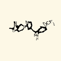 Cc1nc2c(o1)CCN(c1cc(-c3n[nH]c4ccc(OC(F)(F)F)cc34)ccn1)C2